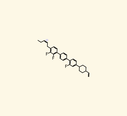 C=CC1CCC(c2ccc(-c3ccc(-c4ccc(C/C=C\CC)c(F)c4F)cc3)c(F)c2)CC1